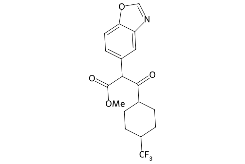 COC(=O)C(C(=O)C1CCC(C(F)(F)F)CC1)c1ccc2ocnc2c1